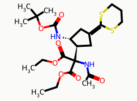 CCOC(=O)C(NC(C)=O)(C(=O)OCC)[C@@H]1CC(=C2SCCCS2)C[C@H]1NC(=O)OC(C)(C)C